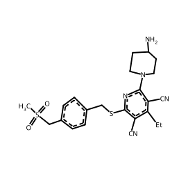 CCc1c(C#N)c(SCc2ccc(CS(C)(=O)=O)cc2)nc(N2CCC(N)CC2)c1C#N